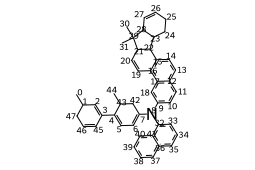 CC1C=C(C2=CC=C(N(c3ccc4ccc5c(c4c3)C=CC3C5C4CCC=CC4C3(C)C)c3cccc4ccccc34)CC2C)C=CC1